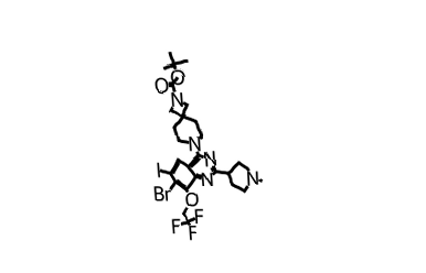 CN1CCC(c2nc(N3CCC4(CC3)CN(C(=O)OC(C)(C)C)C4)c3cc(I)c(Br)c(OCC(F)(F)F)c3n2)CC1